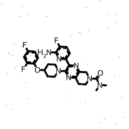 CN(C)C(=O)N1CCc2nc(N3CCC(Oc4ccc(F)cc4F)CC3)c(-c3ccc(F)c(N)n3)nc2C1